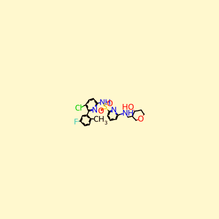 Cc1ccc(F)cc1-c1nc(NS(=O)(=O)c2cccc(NCC3COCC[C@H]3O)n2)ccc1Cl